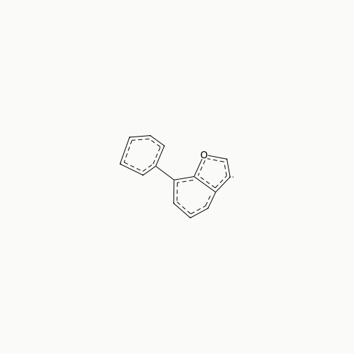 [c]1coc2c(-c3ccccc3)cccc12